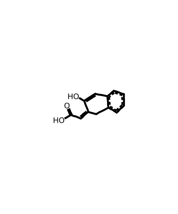 O=C(O)C=C1Cc2ccccc2C=C1O